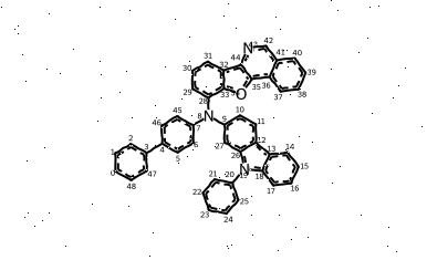 c1ccc(-c2ccc(N(c3ccc4c5ccccc5n(-c5ccccc5)c4c3)c3cccc4c3oc3c5ccccc5cnc43)cc2)cc1